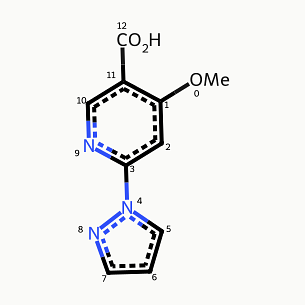 COc1cc(-n2cccn2)ncc1C(=O)O